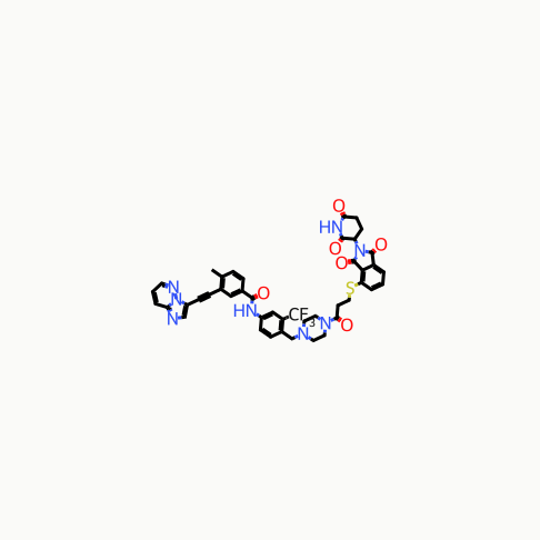 Cc1ccc(C(=O)Nc2ccc(CN3CCN(C(=O)CCSc4cccc5c4C(=O)N(C4CCC(=O)NC4=O)C5=O)CC3)c(C(F)(F)F)c2)cc1C#Cc1cnc2cccnn12